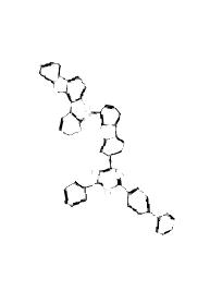 C1=Cc2c(n(-c3cccc4c3oc3cc(-c5nc(-c6ccccc6)nc(-c6ccc(-c7ccccc7)cc6)n5)ccc34)c3ccc4c5ccccc5sc4c23)CC1